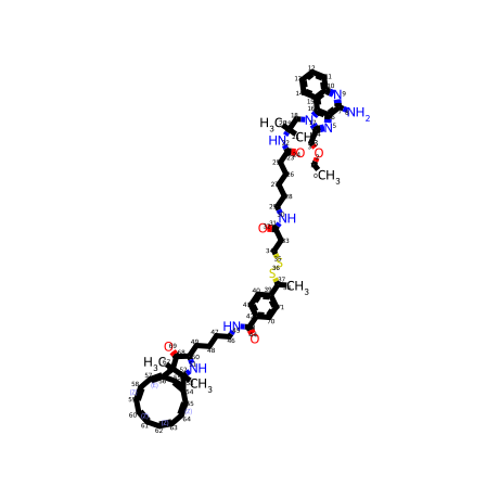 CCOCc1nc2c(N)nc3ccccc3c2n1CC(C)(C)NC(=O)CCCCCNC(=O)CCSSC(C)c1ccc(C(=O)NCCCCC2NC3(C)C4=CC(=C/C=C\C=C/C=C\C=C/4)\C3(C)C2=O)cc1